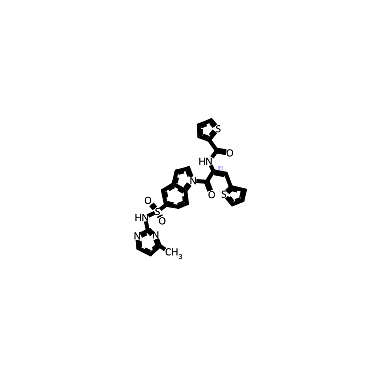 Cc1ccnc(NS(=O)(=O)c2ccc3c(ccn3C(=O)/C(=C\c3cccs3)NC(=O)c3cccs3)c2)n1